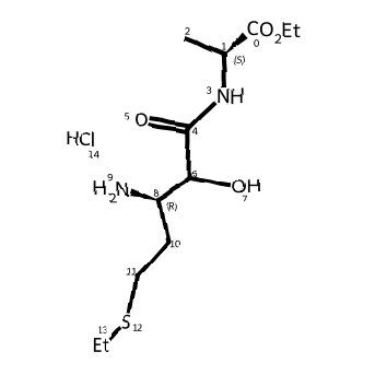 CCOC(=O)[C@H](C)NC(=O)C(O)[C@H](N)CCSCC.Cl